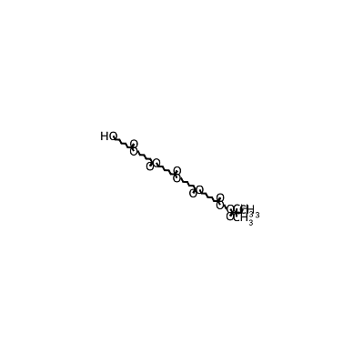 CCC(C)(C)C(=O)OCCOC(=O)CCCCCOC(=O)CCCCCOC(=O)CCCCCOC(=O)CCCCCOC(=O)CCCCCO